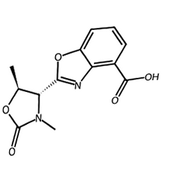 C[C@@H]1OC(=O)N(C)[C@H]1c1nc2c(C(=O)O)cccc2o1